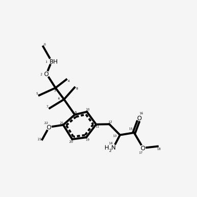 CBOC(C)(C)C(C)(C)c1cc(CC(N)C(=O)OC)ccc1OC